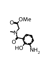 COC(=O)CN(C)C(=O)c1cccc(N)c1O